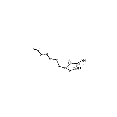 CCCCCCCN1CNC(S)O1